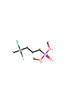 COP(=O)(CCC[Si](C)(F)F)OC